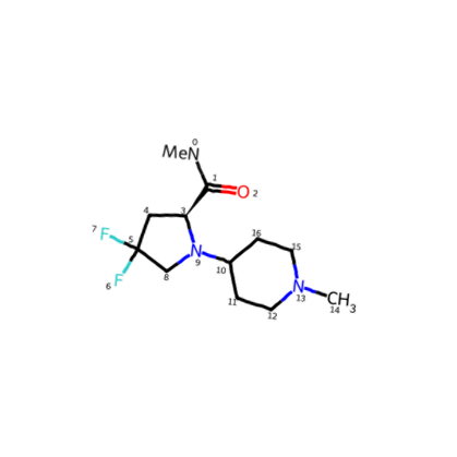 CNC(=O)[C@@H]1CC(F)(F)CN1C1CCN(C)CC1